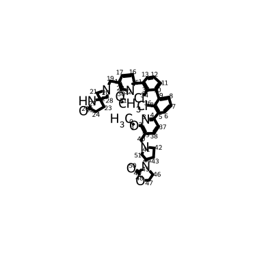 COc1nc(-c2cccc(-c3cccc(-c4ccc(CN5CC6(CCC(=O)N6)C5)c(OC)n4)c3Cl)c2Cl)ccc1CN1CCC(N2CCOC2=O)C1